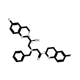 O=C(CN(Cc1ccccc1)C[C@H](O)[C@H]1CCc2cc(F)ccc2O1)[C@@H]1CCc2cc(F)ccc2O1